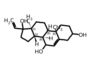 C=CC1(O)CC[C@H]2[C@@H]3C(O)C=C4CC(O)CC[C@]4(C)[C@@H]3CC[C@@]21C